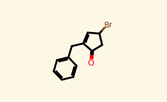 O=C1CC(Br)C=C1Cc1ccccc1